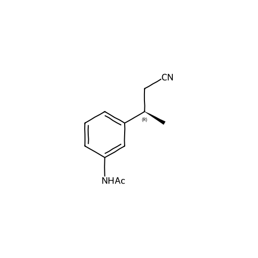 CC(=O)Nc1cccc([C@H](C)CC#N)c1